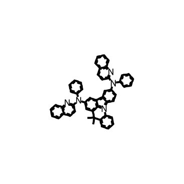 CC1(C)c2ccccc2-n2c3ccc(N(c4ccccc4)c4ccc5ccccc5n4)cc3c3cc(N(c4ccccc4)c4ccc5ccccc5n4)cc1c32